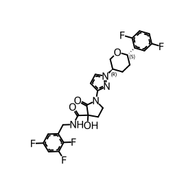 O=C(NCc1cc(F)cc(F)c1F)C1(O)CCN(c2ccn([C@@H]3CC[C@@H](c4cc(F)ccc4F)OC3)n2)C1=O